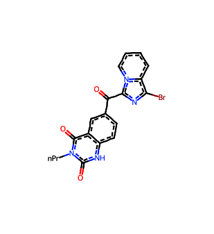 CCCn1c(=O)[nH]c2ccc(C(=O)c3nc(Br)c4ccccn34)cc2c1=O